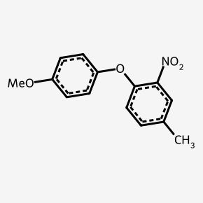 COc1ccc(Oc2ccc(C)cc2[N+](=O)[O-])cc1